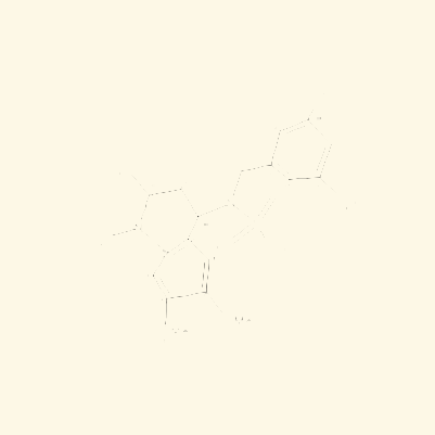 CCOC(=O)N1c2cc(OC)c(OC)cc2C(N(Cc2cc(C(F)(F)F)cc(C(F)(F)F)c2)S(C)(=O)=O)CC1C